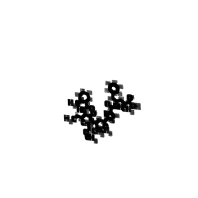 CCC(C)C(NC(=O)C1CCCCN1C)C(=O)N(CCOC)C(CC(=O)c1nc(C(=O)NC(Cc2ccccc2)CC(C)C(=O)O)cs1)C(C)C